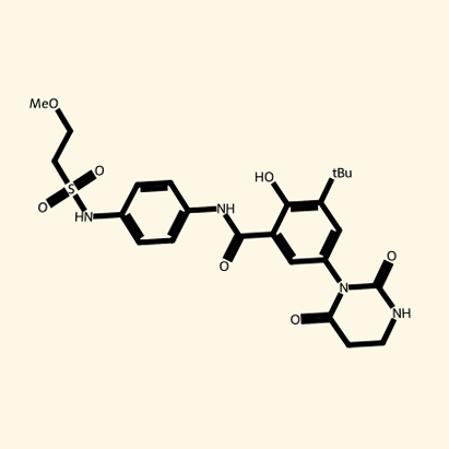 COCCS(=O)(=O)Nc1ccc(NC(=O)c2cc(N3C(=O)CCNC3=O)cc(C(C)(C)C)c2O)cc1